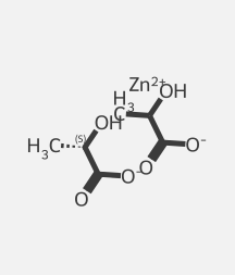 CC(O)C(=O)[O-].C[C@H](O)C(=O)[O-].[Zn+2]